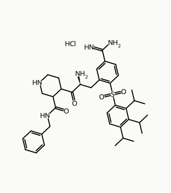 CC(C)c1ccc(S(=O)(=O)c2ccc(C(=N)N)cc2C[C@H](N)C(=O)C2CCNCC2C(=O)NCc2ccccc2)c(C(C)C)c1C(C)C.Cl